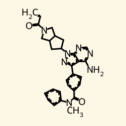 C=CC(=O)N1CC2CC(n3nc(-c4ccc(C(=O)N(C)c5ccccc5)cc4)c4c(N)ncnc43)CC2C1